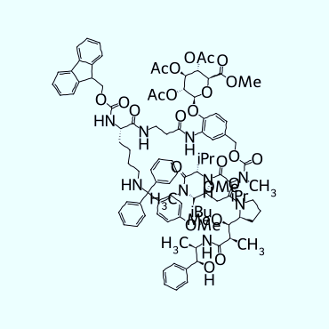 CC[C@H](C)[C@@H]([C@@H](CC(=O)N1CCC[C@H]1[C@H](OC)[C@@H](C)C(=O)N[C@H](C)[C@@H](O)c1ccccc1)OC)N(C)C(=O)[C@@H](NC(=O)[C@H](C(C)C)N(C)C(=O)OCc1ccc(O[C@@H]2O[C@H](C(=O)OC)[C@@H](OC(C)=O)[C@H](OC(C)=O)[C@H]2OC(C)=O)c(NC(=O)CCNC(=O)[C@H](CCCCNC(c2ccccc2)(c2ccccc2)c2ccc(OC)cc2)NC(=O)OCC2c3ccccc3-c3ccccc32)c1)C(C)C